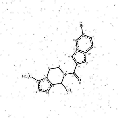 CC1c2nnc(C(=O)O)n2CCN1C(=O)c1cc2ccc(Br)cn2n1